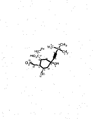 CC(C)=O.C[Si](C)(C)C#C[C@]1(O)C[C@@H](O)[C@@H](C[N+](=O)[O-])[C@H](C(=O)O)C1